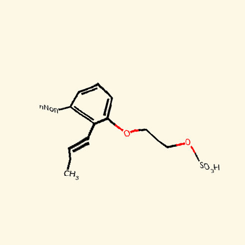 CC=Cc1c(CCCCCCCCC)cccc1OCCOS(=O)(=O)O